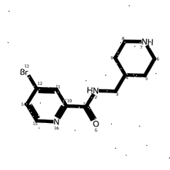 O=C(NCC1CCNCC1)c1cc(Br)ccn1